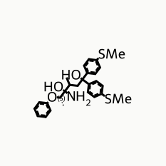 CSc1ccc(C(O)(CC(C)C(N)(O)[C@H](C)Oc2ccccc2)c2ccc(SC)cc2)cc1